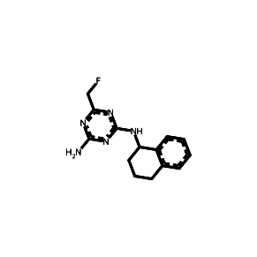 Nc1nc(CF)nc(NC2CCCc3ccccc32)n1